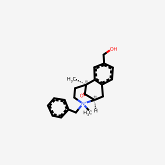 C[C@]12CC[N+](C)(Cc3ccccc3)[C@H](Cc3ccc(CO)cc31)C2=O